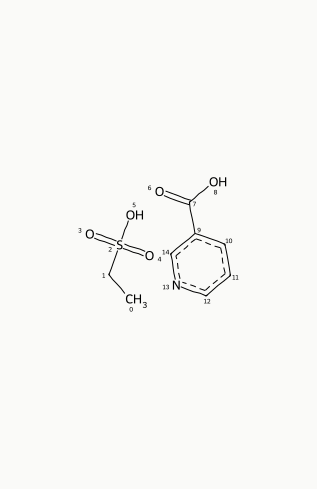 CCS(=O)(=O)O.O=C(O)c1cccnc1